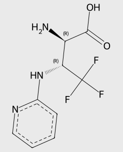 N[C@@H](C(=O)O)[C@@H](Nc1ccccn1)C(F)(F)F